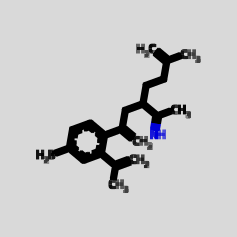 Bc1ccc(C(=C)CC(CCC(=C)C)C(C)=N)c(C(=C)C)c1